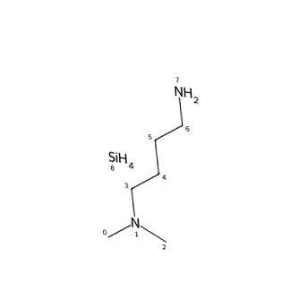 CN(C)CCCCN.[SiH4]